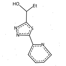 CCC(O)c1nnc(-c2ccccn2)s1